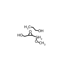 CCCO.CO[SiH2]C1OC1CO